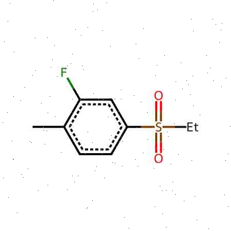 CCS(=O)(=O)c1ccc(C)c(F)c1